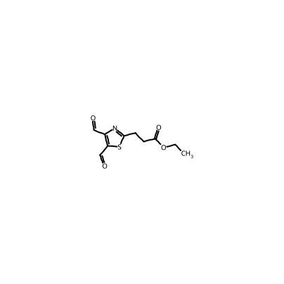 CCOC(=O)CCc1nc(C=O)c(C=O)s1